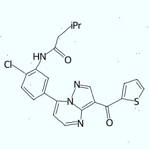 CC(C)CC(=O)Nc1cc(-c2ccnc3c(C(=O)c4cccs4)cnn23)ccc1Cl